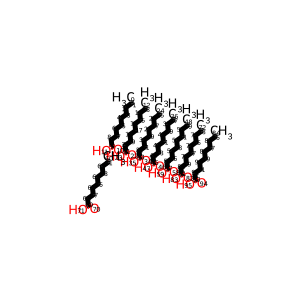 CCCCCCCCCC(=O)O.CCCCCCCCCC(=O)O.CCCCCCCCCC(=O)O.CCCCCCCCCC(=O)O.CCCCCCCCCC(=O)O.CCCCCCCCCC(=O)O.CCCCCCCCCC(=O)O.CCCCCCCCCC(=O)O